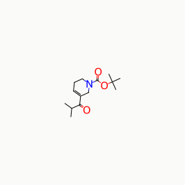 CC(C)C(=O)C1=CCCN(C(=O)OC(C)(C)C)C1